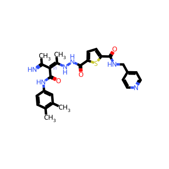 CC(=N)/C(C(=O)Nc1ccc(C)c(C)c1)=C(\C)NNC(=O)c1ccc(C(=O)NCc2ccncc2)s1